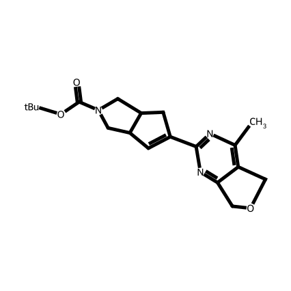 Cc1nc(C2=CC3CN(C(=O)OC(C)(C)C)CC3C2)nc2c1COC2